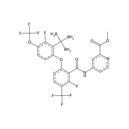 BC(B)(B)c1c(Oc2ccc(C(F)(F)F)c(F)c2C(=O)Nc2ccnc(C(=O)OC)c2)ccc(OC(F)(F)F)c1F